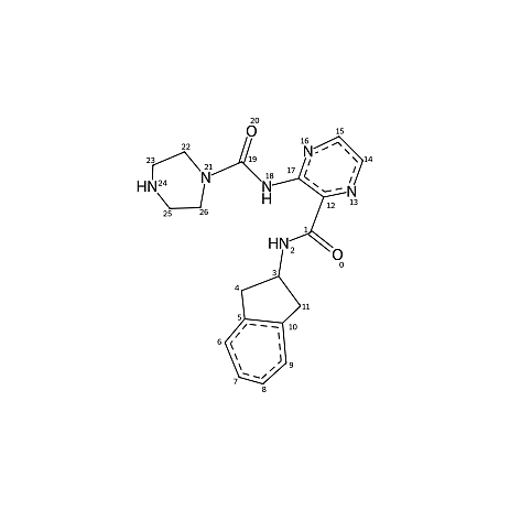 O=C(NC1Cc2ccccc2C1)c1nccnc1NC(=O)N1CCNCC1